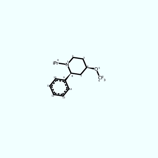 CC(C)N1CC[C@@H](OC(F)(F)F)C[C@H]1c1ccccc1